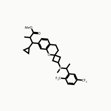 COC(=O)C(C)C(c1ccc2c(c1)OC1(CC2)CC(N(C)C(C)c2cc(C(F)(F)F)ccc2C(F)(F)F)C1)C1CC1